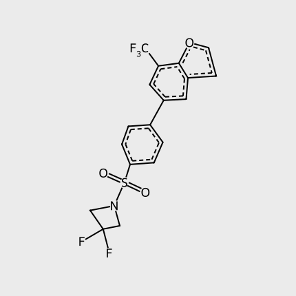 O=S(=O)(c1ccc(-c2cc(C(F)(F)F)c3occc3c2)cc1)N1CC(F)(F)C1